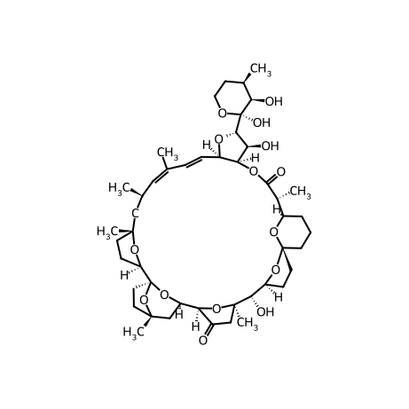 CC1=C/[C@H](C)C[C@@]2(C)CC[C@@H](O2)[C@@]23CC[C@@](C)(C[C@@H](O2)[C@H]2O[C@](C)(CC2=O)[C@@H](O)[C@@H]2CC[C@@]4(CCC[C@H](O4)[C@@H](C)C(=O)O[C@@H]4[C@H](O)[C@@H]([C@@]5(O)OCC[C@@H](C)[C@H]5O)O[C@@H]4\C=C\1)O2)O3